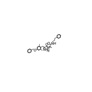 Cc1cc(OCc2ccccc2)cc(C)c1C[C@@H](N)C(=O)N[C@H](C)C(=O)NCCCc1ccccc1